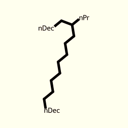 [CH2]CCC(CCCCCCCCCCC)CCCCCCCCCCCCCCCCCC